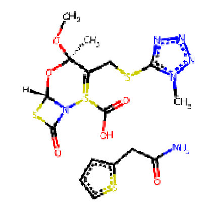 CO[C@]1(C)O[C@H]2SC(=O)N2S(C(=O)O)=C1CSc1nnnn1C.NC(=O)Cc1cccs1